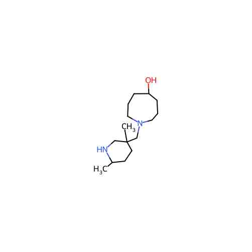 CC1CCC(C)(CN2CCCC(O)CCC2)CN1